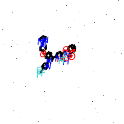 O=C(NC1(C(=O)O)C2CCC3CC(C2)CC1C3)c1ccc(-c2cn(-c3ccc(C(F)(F)F)cn3)c3cc(OC4CCN(c5ncccn5)CC4)ccc23)nc1C(F)(F)F